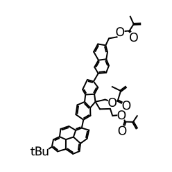 C=C(C)C(=O)OCCCC1(COC(=O)C(=C)C)c2cc(C3=C4C=CC5=CC(C(C)(C)C)=CC6=CC=C(C=C3)C4C65)ccc2-c2ccc(-c3ccc4cc(CCOC(=O)C(=C)C)ccc4c3)cc21